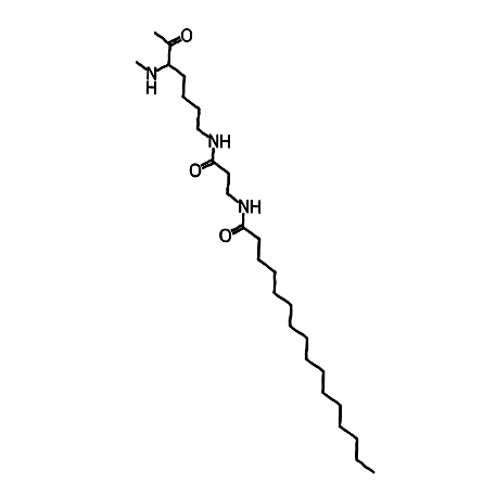 CCCCCCCCCCCCCCCC(=O)NCCC(=O)NCCCCC(NC)C(C)=O